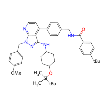 COc1ccc(Cn2nc(NC3CCC(O[Si](C)(C)C(C)(C)C)CC3)c3c(-c4ccc(CNC(=O)c5ccc(C(C)(C)C)cc5)cc4)ccnc32)cc1